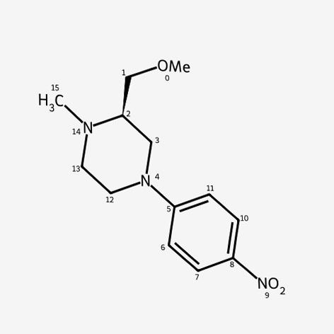 COC[C@H]1CN(c2ccc([N+](=O)[O-])cc2)CCN1C